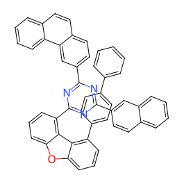 c1ccc(-c2ccc(-c3cccc4oc5cccc(-c6nc(-c7ccc8ccccc8c7)nc(-c7ccc8ccc9ccccc9c8c7)n6)c5c34)cc2)cc1